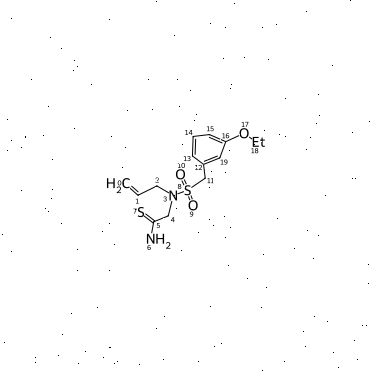 C=CCN(CC(N)=S)S(=O)(=O)Cc1cccc(OCC)c1